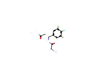 COC(=O)C[C@H](NC(=O)CN)c1cc(Cl)c(F)c(C(F)(F)F)c1